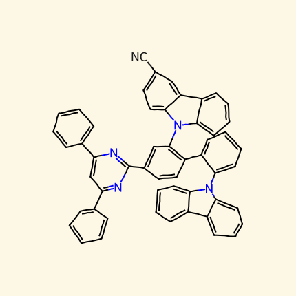 N#Cc1ccc2c(c1)c1ccccc1n2-c1cc(-c2nc(-c3ccccc3)cc(-c3ccccc3)n2)ccc1-c1ccccc1-n1c2ccccc2c2ccccc21